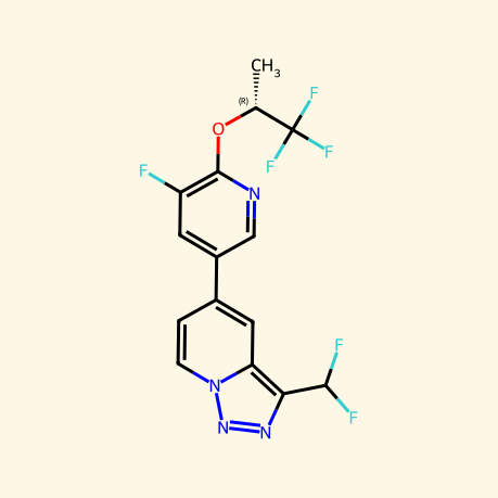 C[C@@H](Oc1ncc(-c2ccn3nnc(C(F)F)c3c2)cc1F)C(F)(F)F